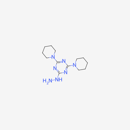 NNc1nc(N2CCCCC2)nc(N2CCCCC2)n1